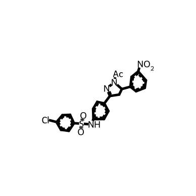 CC(=O)N1N=C(c2ccc(NS(=O)(=O)c3ccc(Cl)cc3)cc2)CC1c1cccc([N+](=O)[O-])c1